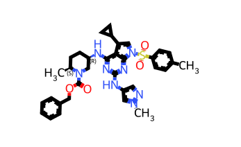 Cc1ccc(S(=O)(=O)n2cc(C3CC3)c3c(N[C@@H]4CC[C@H](C)N(C(=O)OCc5ccccc5)C4)nc(Nc4cnn(C)c4)nc32)cc1